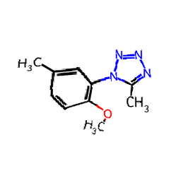 COc1ccc(C)cc1-n1nnnc1C